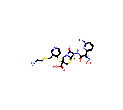 NCCSCc1cnccc1SC1(C(=O)O)CS[C@@H]2[C@H](NC(=O)/C(=N\O)c3cccc(N)n3)C(=O)N2C1